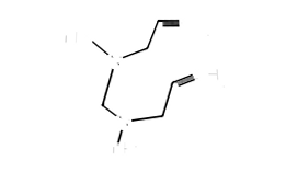 C=CCN(CCC)CN(CC=C)CCC